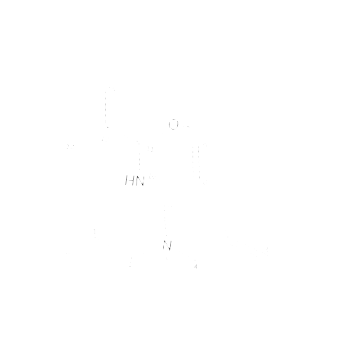 C=CCN(CC=C)C(C=C)NC(=O)C(=C)C